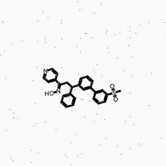 CS(=O)(=O)c1cccc(-c2cccc(C(CC(=NO)c3ccncc3)c3ccccc3)c2)c1